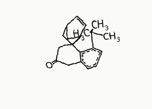 CC(C)(C)c1cccc2c1C1(CC(=O)C2)CC2C=CC1C2